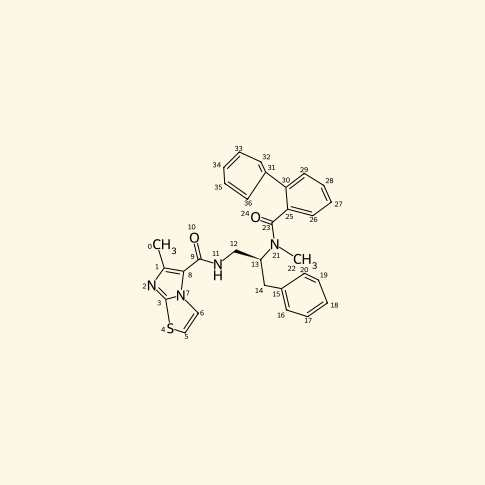 Cc1nc2sccn2c1C(=O)NC[C@H](Cc1ccccc1)N(C)C(=O)c1ccccc1-c1ccccc1